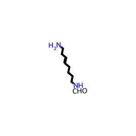 NCC/C=C/CCCCNC=O